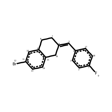 Fc1ccc(/C=C2/CCc3cc(Br)ccc3C2)cc1